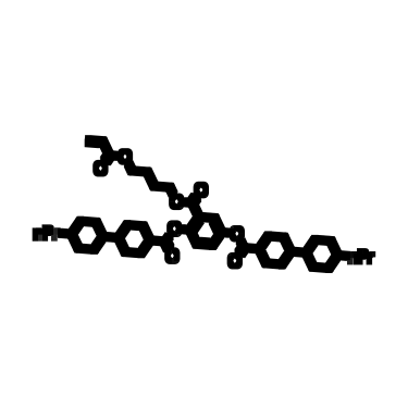 C=CC(=O)OCCCCOC(=O)c1cc(OC(=O)C2CCC(C3CCC(CCC)CC3)CC2)ccc1OC(=O)C1CCC(C2CCC(CCC)CC2)CC1